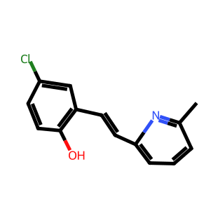 Cc1cccc(C=Cc2cc(Cl)ccc2O)n1